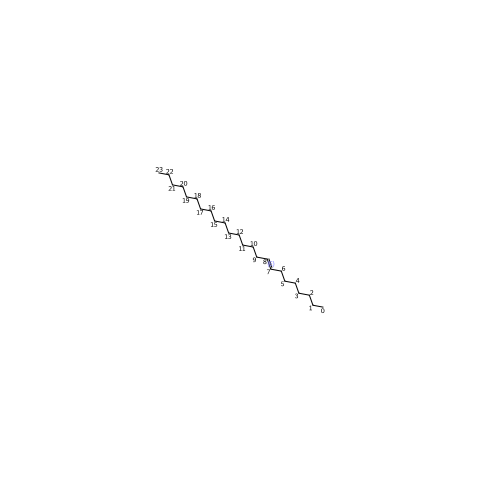 CCCCCCC/C=C/CCCCCCCCCCCCCCC